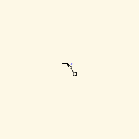 C/C=B/Cl